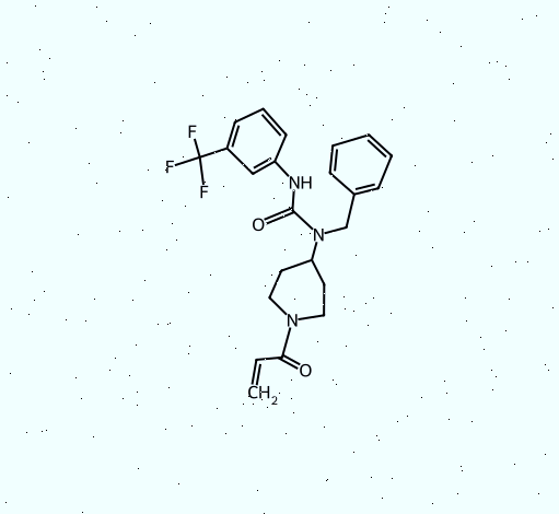 C=CC(=O)N1CCC(N(Cc2ccccc2)C(=O)Nc2cccc(C(F)(F)F)c2)CC1